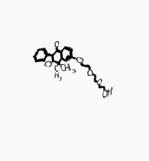 CC1(C)c2cc(OCCOCCOCCO)ccc2C(=O)c2c1oc1c2=CCCC=1